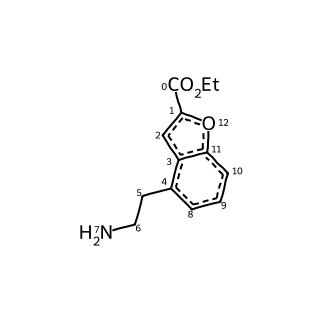 CCOC(=O)c1cc2c(CCN)cccc2o1